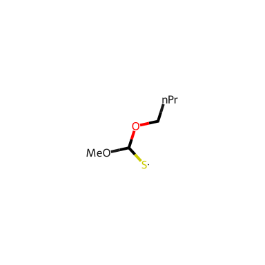 CCCCOC([S])OC